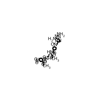 COC(=O)c1cc([N+](=O)[O-])ccc1S(=O)(=O)NCCC[C@H](NC(=O)c1ccc(N(C=O)Cc2cnc3nc(N)nc(N)c3n2)cc1)C(=O)OC